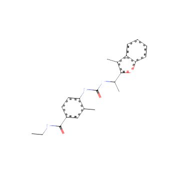 CCNC(=O)c1ccc(NC(=O)NC(C)c2oc3ccccc3c2C)c(C)c1